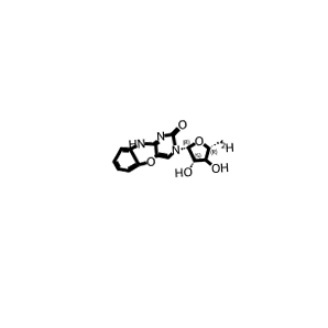 [2H]C[C@H]1O[C@@H](n2cc3c(nc2=O)Nc2ccccc2O3)[C@@H](O)C1O